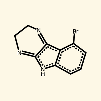 Brc1cccc2[nH]c3c(c12)=NCCN=3